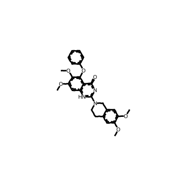 COc1cc2c(cc1OC)CN(c1nc(=O)c3c(Oc4ccccc4)c(OC)c(OC)cc3[nH]1)CC2